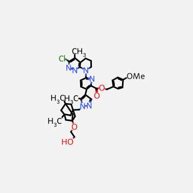 COc1ccc(COC(=O)c2nc(N3CCCc4c3nnc(Cl)c4C)ccc2-c2cnn(CC34CC5(C)CC(C)(C3)CC(OCCO)(C5)C4)c2C)cc1